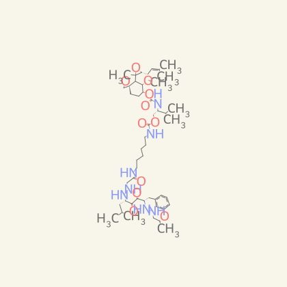 COC1C(OC(=O)N[C@@H](COC(=O)NCCCCCCNC(=O)CNN[C@@H](CC(C)C)C(=O)C(=O)[C@H](Cc2ccccc2)NNCC(C)=O)C(C)C)CC[C@]2(CO2)C1C1(C)O[C@@H]1CC=C(C)C